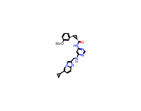 COc1cccc([C@H]2C[C@@H]2C(=O)Nc2cc(NCc3cn4cc(C5CC5)ccc4n3)ncn2)c1